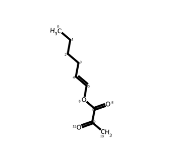 CCCCC=COC(=O)C(C)=O